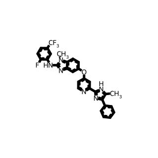 Cc1[nH]c(-c2cc(Oc3ccc4c(c3)nc(Nc3cc(C(F)(F)F)ccc3F)n4C)ccn2)nc1-c1ccccc1